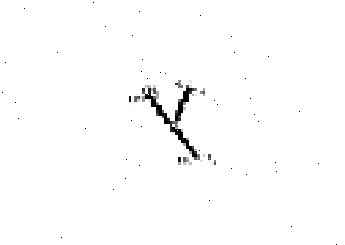 CC(O)CCCCCCN(CCCCCCC(C)O)CCCCCCC(C)O